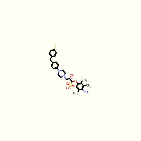 Cc1cc(OC([C@@H](O)CN2CCN(c3ccc(Cc4ccc(F)cc4)cc3)CC2)S(=O)(=O)O)c(C)c(C)c1N